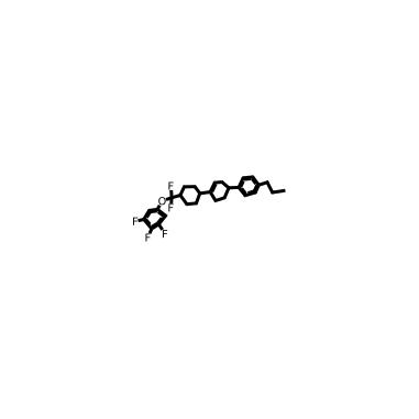 CCCc1ccc(C2CC=C(C3CCC(C(F)(F)Oc4cc(F)c(F)c(F)c4)CC3)CC2)cc1